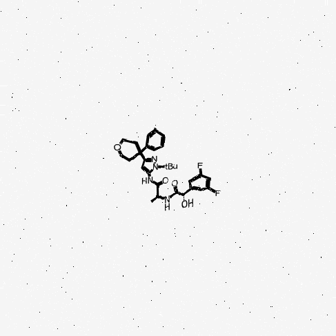 CC(NC(=O)[C@@H](O)c1cc(F)cc(F)c1)C(=O)Nc1cc(C2(c3ccccc3)CCOCC2)nn1C(C)(C)C